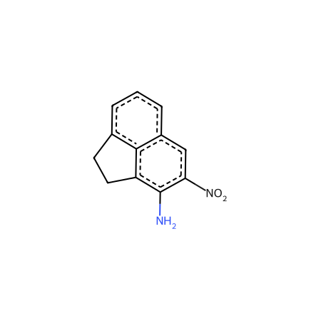 Nc1c([N+](=O)[O-])cc2cccc3c2c1CC3